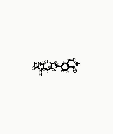 O=C1NC(=S)N/C1=C/c1ccc(-c2ccc3c(c2)CCNC3=O)s1